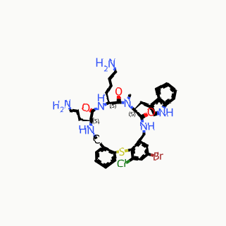 CN1C(=O)[C@H](CCCCN)NC(=O)[C@H](CCCN)NCc2ccccc2Sc2c(Cl)cc(Br)cc2CNC(=O)[C@@H]1Cc1c[nH]c2ccccc12